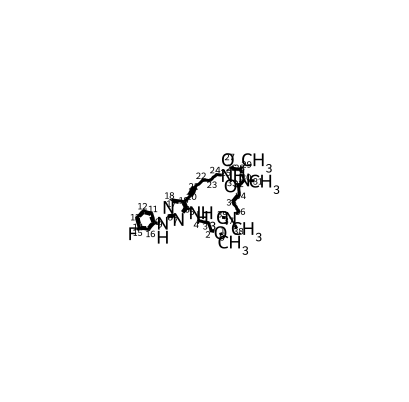 COCCCNc1nc(Nc2cccc(F)c2)ncc1C#CCCCNC(=O)C(C)N(C)C(=O)C=CCN(C)C